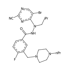 CCCN1CCN(Cc2cc(C(=O)NN(CC(C)C)c3nc(C#N)ncc3Br)ccc2F)CC1